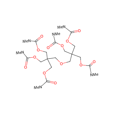 CNC(=O)OCC(COCC(COC(=O)NC)(COC(=O)NC)COC(=O)NC)(COC(=O)NC)COC(=O)NC